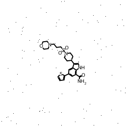 NC(=O)c1cc(-c2cccs2)cc2c(C3CCN(S(=O)(=O)CCCN4CCOCC4)CC3)c[nH]c12